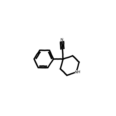 N#CC1(c2ccccc2)[CH]CNCC1